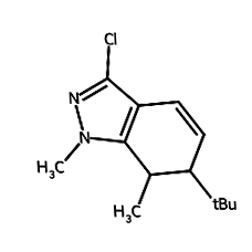 CC1c2c(c(Cl)nn2C)C=CC1C(C)(C)C